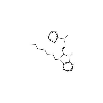 BCCCCCCN1c2ccccc2N(C)C1/C=N/N(C)c1ccccc1